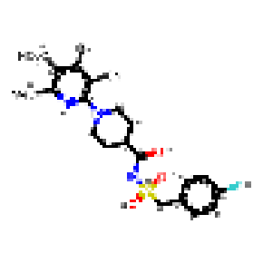 CCc1c(C#N)c(N2CCC(C(=O)NS(=O)(=O)Cc3ccc(F)cc3)CC2)nc(OC)c1C(=O)O